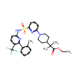 CCOC(=O)C(C)(C)C1CCN(c2cccc(S(=O)(=O)Nc3ccc(C(F)(F)F)c(-c4ccccc4C)n3)n2)CC1